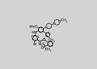 COc1cc(N2CCC(N3CCN(C)CC3)CC2)c(-c2ccn(C)c2)cc1Nc1ncc(Br)c(NC2CC2c2ccccc2P(C)(C)=O)n1